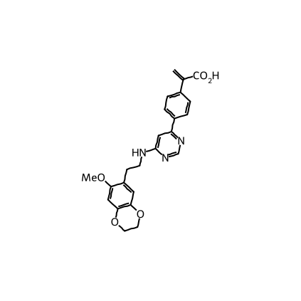 C=C(C(=O)O)c1ccc(-c2cc(NCCc3cc4c(cc3OC)OCCO4)ncn2)cc1